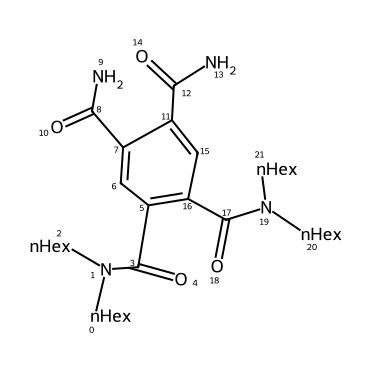 CCCCCCN(CCCCCC)C(=O)c1cc(C(N)=O)c(C(N)=O)cc1C(=O)N(CCCCCC)CCCCCC